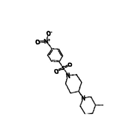 CC1CCCN(C2CCN(S(=O)(=O)c3ccc([N+](=O)[O-])cc3)CC2)C1